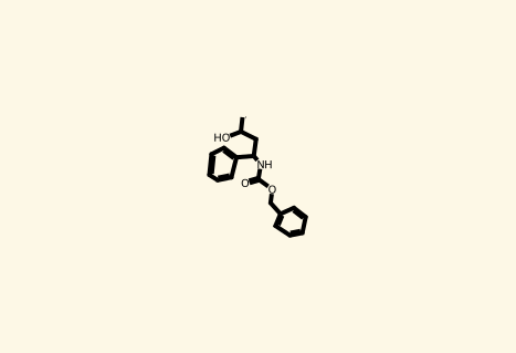 [CH2]C(O)CC(NC(=O)OCc1ccccc1)c1ccccc1